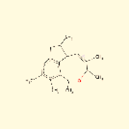 C/C1=C/C2c3c(cc(C)c(C)c3C(C)OC1C)CC2C